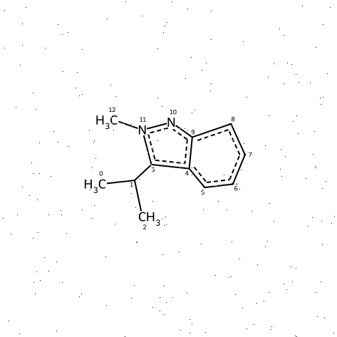 CC(C)c1c2c[c]ccc2nn1C